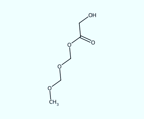 COCOCOC(=O)CO